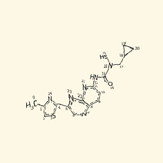 Cc1csc(-c2cnc3ccc(NC(=O)N(S)CC4CC4)nc3n2)n1